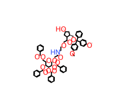 COc1ccc(C(OC[C@@H]2C[C@@H](O)CC2C(=O)COCCNC(=O)CO[C@H]2OC(COC(=O)c3ccccc3)[C@@H](OC(=O)c3ccccc3)[C@@H](OC(=O)c3ccccc3)C2OC(=O)c2ccccc2)(c2ccccc2)c2ccc(OC)cc2)cc1